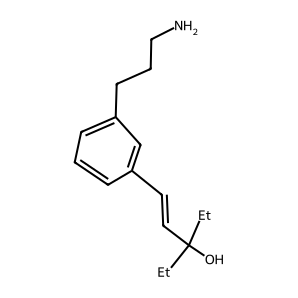 CCC(O)(C=Cc1cccc(CCCN)c1)CC